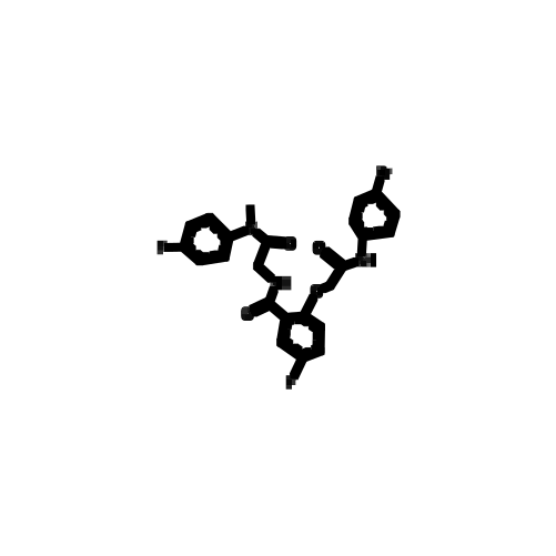 CN(C(=O)CNC(=O)c1cc(F)ccc1OCC(=O)Nc1ccc(Br)cc1)c1ccc(F)cc1